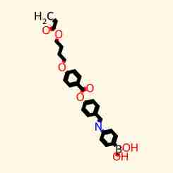 C=CC(=O)OCCCCOc1ccc(C(=O)Oc2ccc(C=Nc3ccc(B(O)O)cc3)cc2)cc1